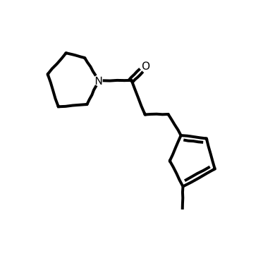 CC1=CC=C(CCC(=O)N2CCCCC2)C1